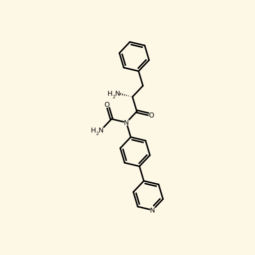 NC(=O)N(C(=O)[C@H](N)Cc1ccccc1)c1ccc(-c2ccncc2)cc1